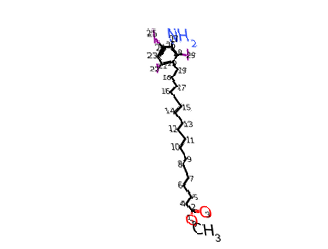 COC(=O)CCCCCCCCCCCCCCCCc1c(I)cc(I)c(N)c1I